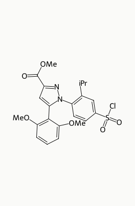 COC(=O)c1cc(-c2c(OC)cccc2OC)n(-c2ccc(S(=O)(=O)Cl)cc2C(C)C)n1